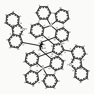 c1ccc([Si]2(c3ccccc3)c3ccccc3C3(c4ccccc42)c2cc(-c4cccc5c4oc4ccccc45)sc2C2(c4ccccc4[Si](c4ccccc4)(c4ccccc4)c4ccccc42)c2cc(-c4cccc5c4oc4ccccc45)sc23)cc1